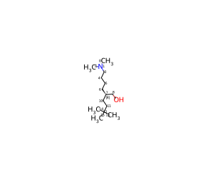 CN(C)CCCC[C@@H](CO)CCC(C)(C)C